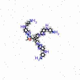 CC1CN(c2ncc3cc(NC4CC5(CC(N)C5)C4)ccc3n2)CC(C2CC(C)(C3CCN(c4cnc5cc(NC6CCC(N)CC6)ccc5n4)CC3)C2(C)C2CCN(c3cnc4cc(NC5CCC(N)CC5)ccc4c3)CC2)O1